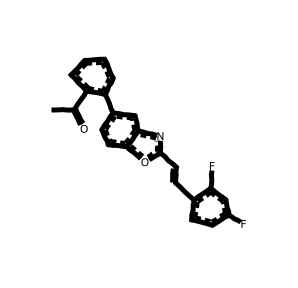 CC(=O)c1ccccc1-c1ccc2oc(C=Cc3ccc(F)cc3F)nc2c1